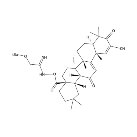 CC1(C)CC[C@]2(C(=O)ONC(=N)COC(C)(C)C)CC[C@]3(C)[C@H](C(=O)C=C4[C@@]5(C)C=C(C#N)C(=O)C(C)(C)[C@@H]5CC[C@]43C)[C@@H]2C1